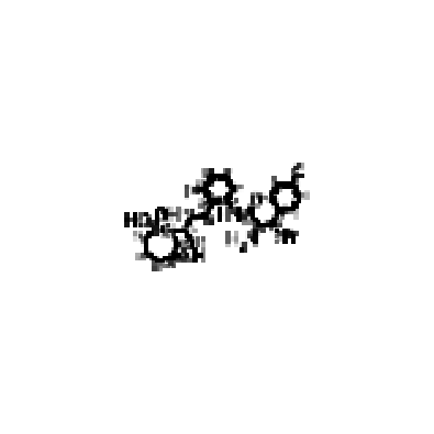 CC(C)[C@H](c1ccc(Cl)cc1)[C@H](N)C(=O)Nc1cccc(F)c1CCC1CNC2CCCS(O)(O)N1C2